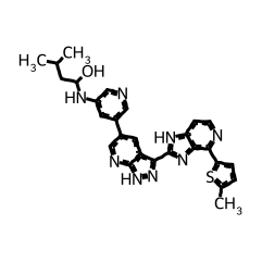 Cc1ccc(-c2nccc3[nH]c(-c4n[nH]c5ncc(-c6cncc(NC(O)CC(C)C)c6)cc45)nc23)s1